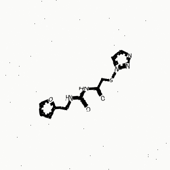 O=C(CSn1ccnn1)NC(=O)NCc1ccco1